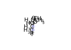 CC1=C(C)C(=O)C(CC[C@@H](O)CC/C=C(\C)CC/C=C(\C)CCC=C(F)F)=C(C)C1=O